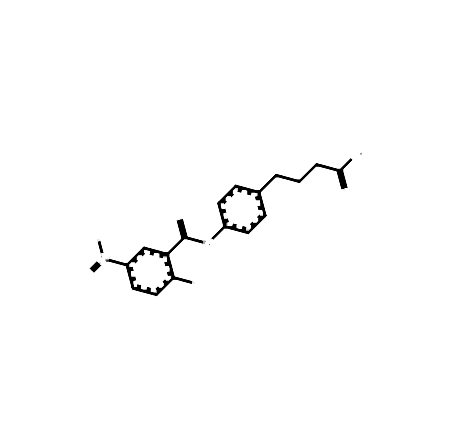 O=C(O)CCCc1ccc(NC(=O)c2cc([N+](=O)[O-])ccc2Cl)cc1